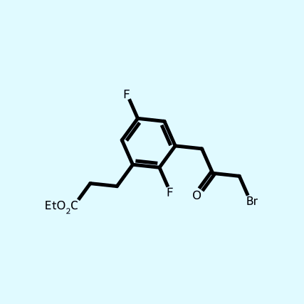 CCOC(=O)CCc1cc(F)cc(CC(=O)CBr)c1F